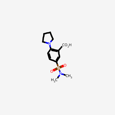 CN(C)S(=O)(=O)c1ccc(N2CCCC2)c(C(=O)O)c1